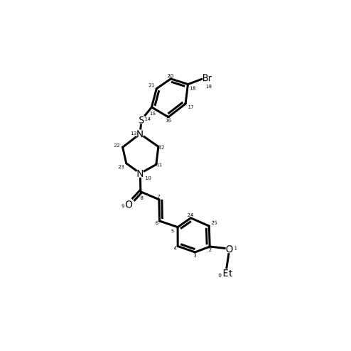 CCOc1ccc(/C=C/C(=O)N2CCN(Sc3ccc(Br)cc3)CC2)cc1